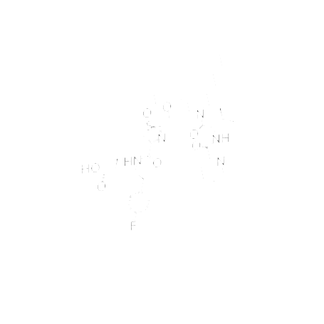 CCCCCCN(C(=O)[C@@H](NC(=O)C1CCCCN1C)[C@@H](C)CC)[C@H](C[C@@H](OC(C)=O)c1nc(C(=O)N[C@@H](Cc2ccc(F)cc2)C[C@H](C)C(=O)O)cs1)C(C)C